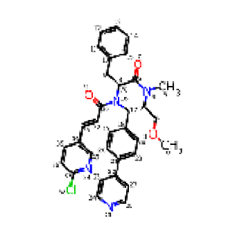 COCCN(C)C(=O)[C@H](Cc1ccccc1)N(Cc1ccc(-c2ccncc2)cc1)C(=O)C=Cc1ccc(Cl)nc1